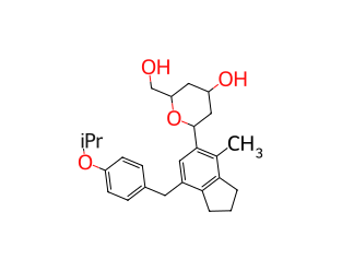 Cc1c(C2CC(O)CC(CO)O2)cc(Cc2ccc(OC(C)C)cc2)c2c1CCC2